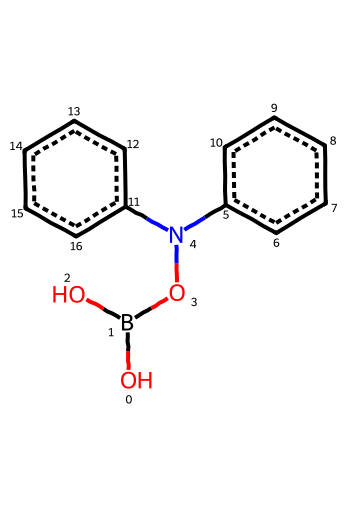 OB(O)ON(c1ccccc1)c1ccccc1